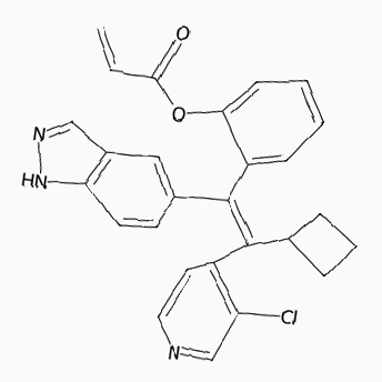 C=CC(=O)Oc1ccccc1/C(=C(/c1ccncc1Cl)C1CCC1)c1ccc2[nH]ncc2c1